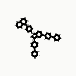 c1ccc(-c2ccc(-c3ccc4c(c3)c(-c3ccc(-c5ccccc5)cc3)cn4-c3ccc(-c4cccc5ccccc45)cc3)cc2)cc1